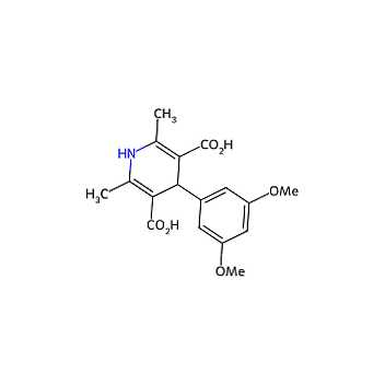 COc1cc(OC)cc(C2C(C(=O)O)=C(C)NC(C)=C2C(=O)O)c1